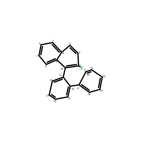 Fc1ccc2ccccc2c1-c1ccccc1-c1ccccc1